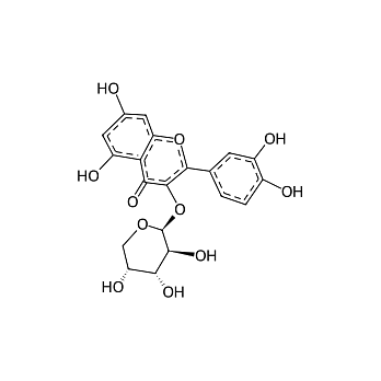 O=c1c(O[C@@H]2OC[C@@H](O)[C@@H](O)[C@@H]2O)c(-c2ccc(O)c(O)c2)oc2cc(O)cc(O)c12